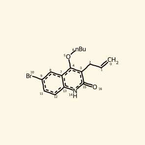 C=CCc1c(OCCCC)c2cc(Br)ccc2[nH]c1=O